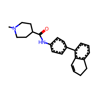 CN1CCC(C(=O)Nc2ccc(-c3cccc4c3C=CCC4)cc2)CC1